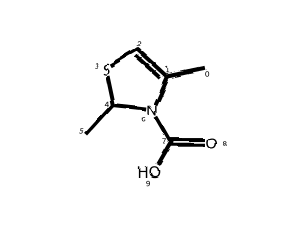 CC1=CSC(C)N1C(=O)O